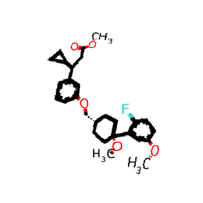 COC(=O)CC(c1cccc(OC[C@H]2CC[C@](OC)(c3cc(OC)ccc3F)CC2)c1)C1CC1